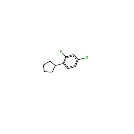 Fc1cc(Cl)ccc1C1CCCC1